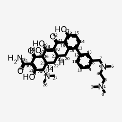 CN(C)CCN(C)Cc1cccc(-c2ccc(O)c3c2C[C@H]2C[C@H]4[C@H](N(C)C)C(O)=C(C(N)=O)C(=O)[C@@]4(O)C(O)=C2C3=O)c1